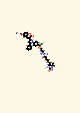 COc1ccc2oc(=O)c(C3=NN(c4ccc(C(=O)OCCCNNC(=O)CCCC[C@@H]5SC[C@@H]6NC(=O)N[C@@H]65)cc4)C(c4ccccc4)C3)cc2c1.Cl